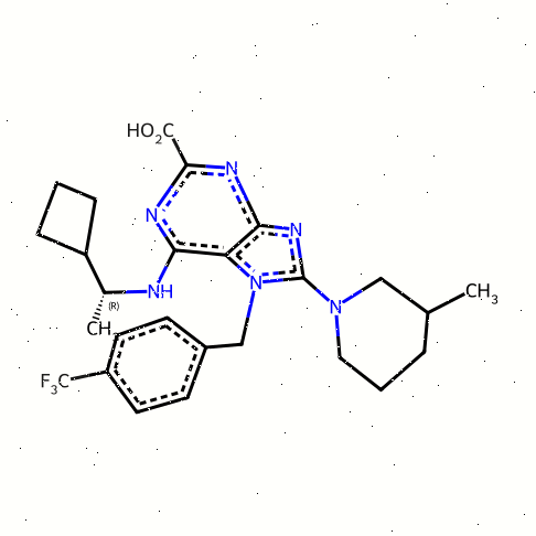 CC1CCCN(c2nc3nc(C(=O)O)nc(N[C@H](C)C4CCC4)c3n2Cc2ccc(C(F)(F)F)cc2)C1